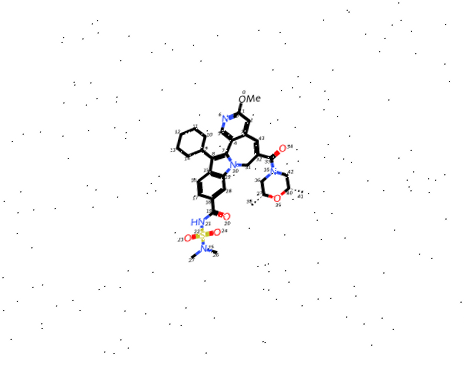 COc1cc2c(cn1)-c1c(C3CCCCC3)c3ccc(C(=O)NS(=O)(=O)N(C)C)cc3n1CC(C(=O)N1C[C@@H](C)O[C@@H](C)C1)=C2